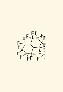 FC1(F)C2C(C(F)(F)C(F)(F)C1(F)F)C(F)(F)C(F)(F)C(F)(F)C2(F)F.[C]F